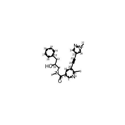 Cc1ncc(C(=O)N(C)CC(O)Cc2ccccc2)cc1C#Cc1cnn(C)c1